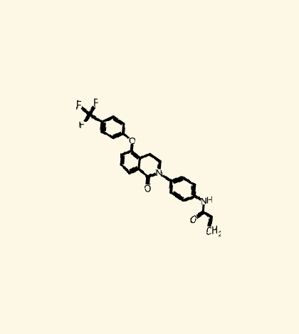 C=CC(=O)Nc1ccc(N2CCc3c(Oc4ccc(C(F)(F)F)cc4)cccc3C2=O)cc1